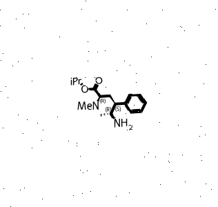 CN[C@H](C[C@@H](c1ccccc1)[C@@H](C)N)C(=O)OC(C)C